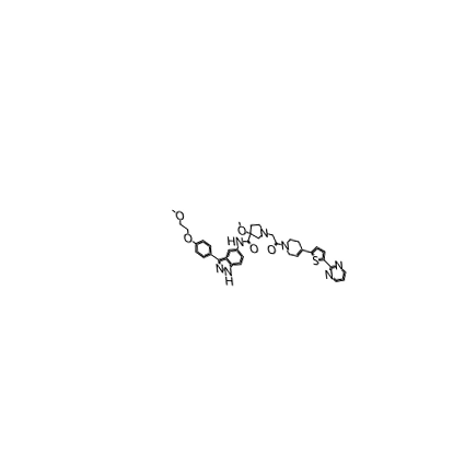 COCCOc1ccc(-c2n[nH]c3ccc(NC(=O)[C@]4(OC)CCN(CC(=O)N5CC=C(c6ccc(-c7ncccn7)s6)CC5)C4)cc23)cc1